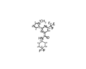 Cn1cncc1-c1nc(C(=O)NC2CCC(F)(F)CC2)cc(C(F)(F)F)n1